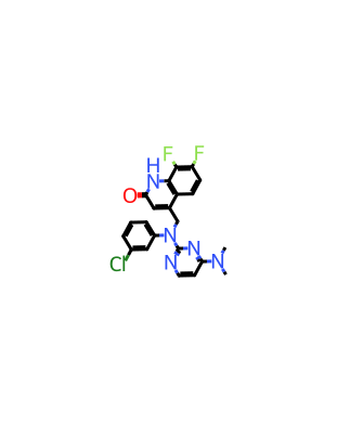 CN(C)c1ccnc(N(Cc2cc(=O)[nH]c3c(F)c(F)ccc23)c2cccc(Cl)c2)n1